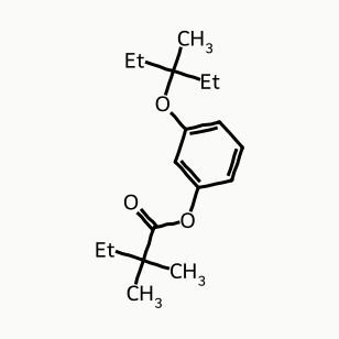 CCC(C)(CC)Oc1cccc(OC(=O)C(C)(C)CC)c1